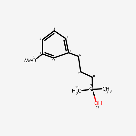 COc1cccc(CCC[Si](C)(C)O)c1